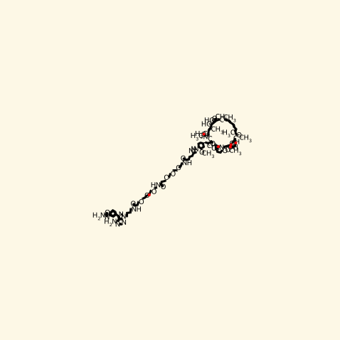 CO/N=C1/C[C@@H]([C@H](C)C[C@@H]2CC[C@H](n3cc(CCCC(=O)NCCOCCOCCOCCC(=O)NCCOCCOCCOCCC(=O)NCCCCn4nc(-c5ccc6oc(N)nc6c5)c5c(N)ncnc54)nn3)[C@H](OC)C2)OC(=O)[C@@H]2CCCCN2C(=O)C(=O)[C@]2(O)O[C@@H](CC[C@H]2C)C[C@H](OC)/C(C)=C/C=C/C=C/[C@@H](C)C[C@@H](C)C(=O)[C@H](O)[C@H](O)/C(C)=C/[C@H]1C